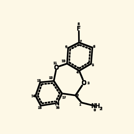 NCC1Oc2ccc(F)cc2Oc2cccnc21